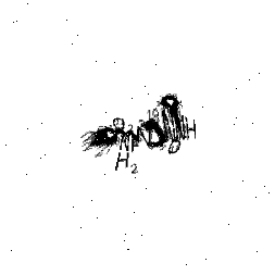 NC(CC(F)N1CCC(n2c(=O)[nH]c3ccccc32)CC1)C(=O)c1ccccc1